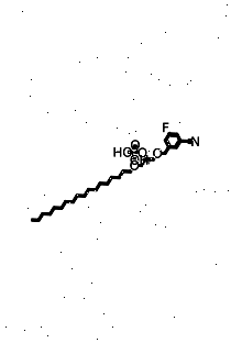 CCCCCCCCCCCCCCCCCCOC[C@H](COCc1cc(F)cc(C#N)c1)OP(=O)(O)O